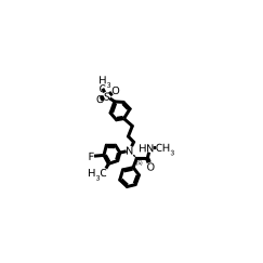 CNC(=O)[C@H](c1ccccc1)N(CCCc1ccc(S(C)(=O)=O)cc1)c1ccc(F)c(C)c1